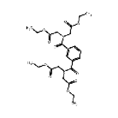 CCOC(=O)CN(CC(=O)OCC)C(=O)c1cccc(C(=O)N(CC(=O)OCC)CC(=O)OCC)c1